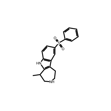 CC1CNCCc2c1[nH]c1ccc(S(=O)(=O)c3ccccc3)cc21